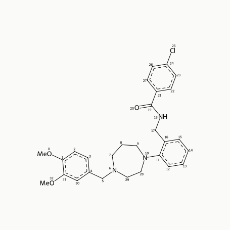 COc1ccc(CN2CCCN(c3ccccc3CNC(=O)c3ccc(Cl)cc3)CC2)cc1OC